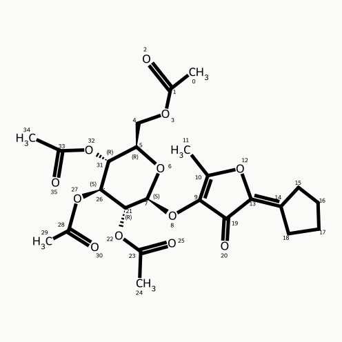 CC(=O)OC[C@H]1O[C@@H](OC2=C(C)OC(=C3CCCC3)C2=O)[C@H](OC(C)=O)[C@@H](OC(C)=O)[C@@H]1OC(C)=O